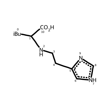 CCC(C)C(NCCc1c[nH]cn1)C(=O)O